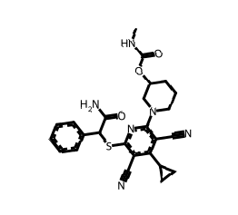 CNC(=O)OC1CCCN(c2nc(SC(C(N)=O)c3ccccc3)c(C#N)c(C3CC3)c2C#N)C1